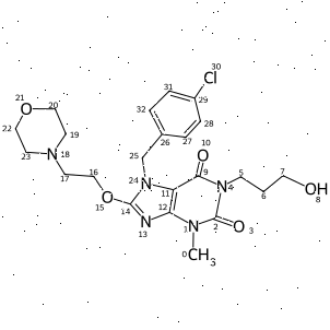 Cn1c(=O)n(CCCO)c(=O)c2c1nc(OCCN1CCOCC1)n2Cc1ccc(Cl)cc1